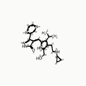 CC(C)c1c(C=C2C(=O)NN=C2c2cnccn2)[nH]c(CO)c1CCNC1CC1